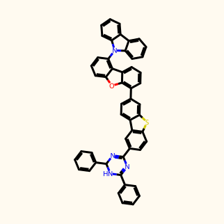 c1ccc(C2=NC(c3ccc4sc5cc(-c6cccc7c6oc6cccc(-n8c9ccccc9c9ccccc98)c67)ccc5c4c3)=NC(c3ccccc3)N2)cc1